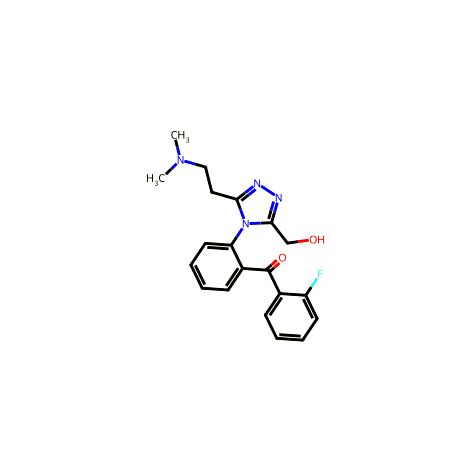 CN(C)CCc1nnc(CO)n1-c1ccccc1C(=O)c1ccccc1F